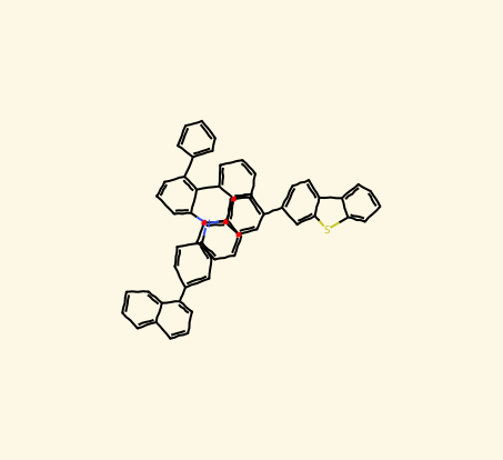 c1ccc(-c2ccccc2-c2c(-c3ccccc3)cccc2N(c2ccc(-c3ccc4c(c3)sc3ccccc34)cc2)c2ccc(-c3cccc4ccccc34)cc2)cc1